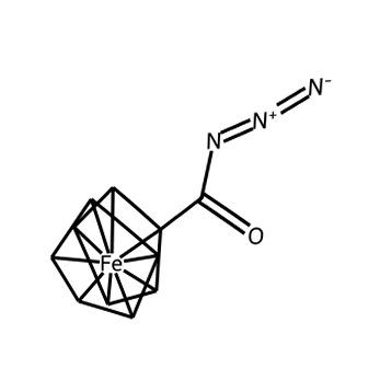 [N-]=[N+]=NC(=O)[C]12[CH]3[CH]4[CH]5[CH]1[Fe]45321678[CH]2[CH]1[CH]6[CH]7[CH]28